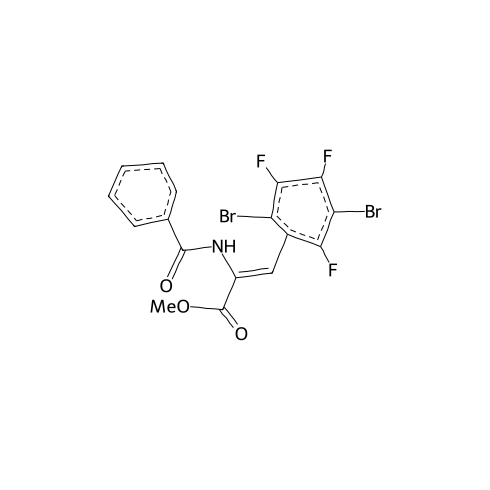 COC(=O)C(=Cc1c(F)c(Br)c(F)c(F)c1Br)NC(=O)c1ccccc1